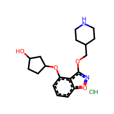 Cl.OC1CCC(Oc2cccc3onc(OCC4CCNCC4)c23)C1